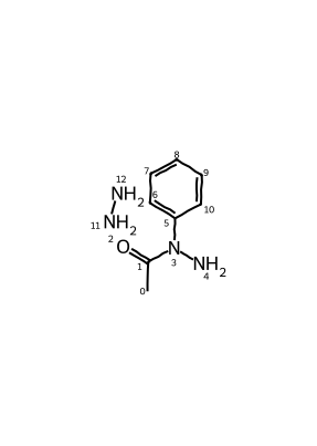 CC(=O)N(N)c1ccccc1.NN